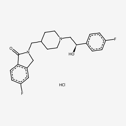 Cl.O=C1c2ccc(F)cc2CN1CC1CCN(C[C@H](O)c2ccc(F)cc2)CC1